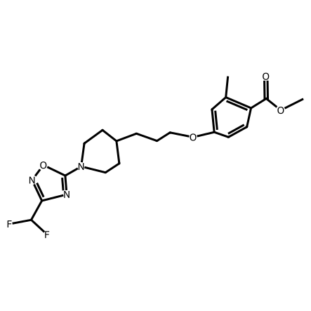 COC(=O)c1ccc(OCCCC2CCN(c3nc(C(F)F)no3)CC2)cc1C